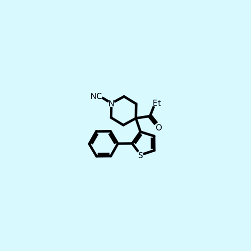 CCC(=O)C1(c2ccsc2-c2ccccc2)CCN(C#N)CC1